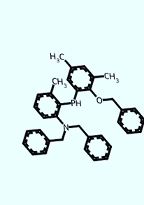 Cc1cc(C)c(OCc2ccccc2)c(Pc2c(C)cccc2N(Cc2ccccc2)Cc2ccccc2)c1